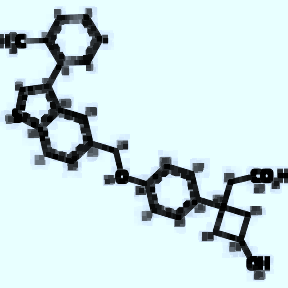 Cc1ccccc1-c1csc2ccc(COc3ccc(C4(CC(=O)O)CC(O)C4)cc3)cc12